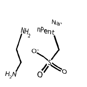 CCCCCCS(=O)(=O)[O-].NCCN.[Na+]